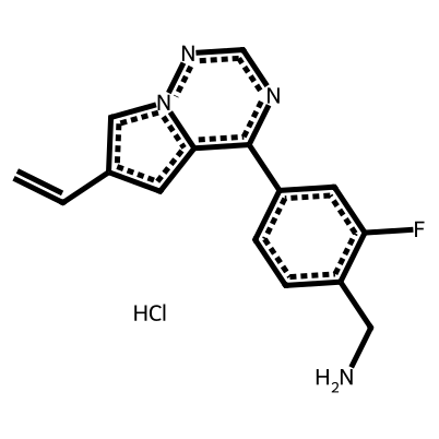 C=Cc1cc2c(-c3ccc(CN)c(F)c3)ncnn2c1.Cl